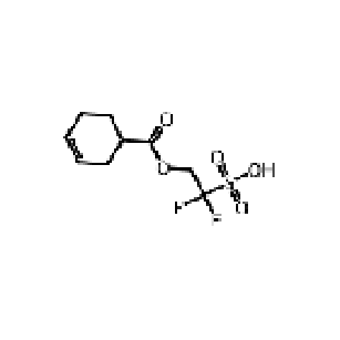 O=C(OCC(F)(F)S(=O)(=O)O)C1CC=CCC1